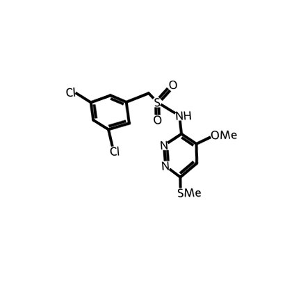 COc1cc(SC)nnc1NS(=O)(=O)Cc1cc(Cl)cc(Cl)c1